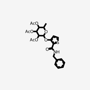 CC(=O)OC1C(C)OC(Oc2ccsc2C(=O)NCc2ccccc2)C(OC(C)=O)C1OC(C)=O